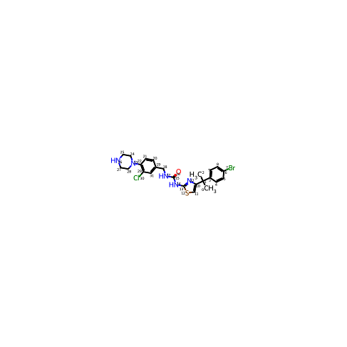 CC(C)(c1ccc(Br)cc1)c1csc(NC(=O)NCc2ccc(N3CCNCC3)c(Cl)c2)n1